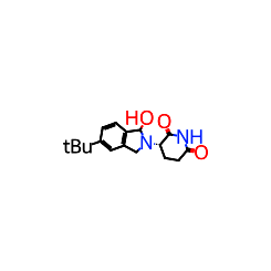 CC(C)(C)c1ccc2c(c1)CN([C@H]1CCC(=O)NC1=O)C2O